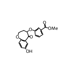 COC(=O)c1cccc(OC2CCOc3ccc(O)cc3C2=O)c1